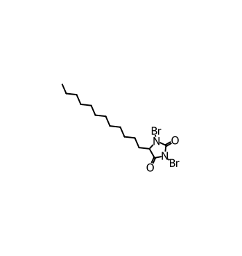 CCCCCCCCCCCCC1C(=O)N(Br)C(=O)N1Br